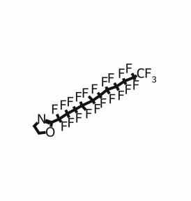 FC(F)(F)C(F)(F)C(F)(F)C(F)(F)C(F)(F)C(F)(F)C(F)(F)C(F)(F)C(F)(F)C(F)(F)C(F)(F)C1=NCCO1